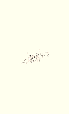 O=C1CN(C(=O)c2ccccc2-n2cnc(Cn3nc(-c4ccc(Cl)cc4)n(C[C@H](O)C(F)(F)F)c3=O)n2)CCN1